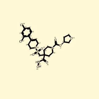 O=C(O[C@H]1CCOC1)N1CCC(CS(=O)(=O)N2CC=C(c3ccc(Cl)cc3Cl)CC2)(C(=O)NO)CC1